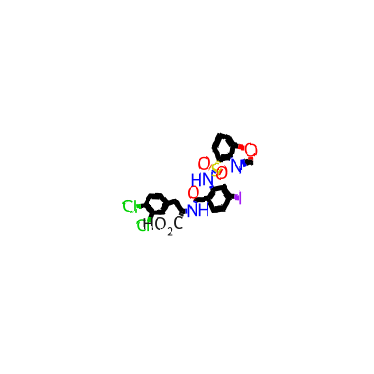 O=C(NC(Cc1ccc(Cl)c(Cl)c1)C(=O)O)c1ccc(I)cc1NS(=O)(=O)c1cccc2ocnc12